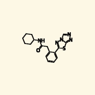 O=C(Cc1ccccc1-c1nn2cnnc2s1)NC1CCCCC1